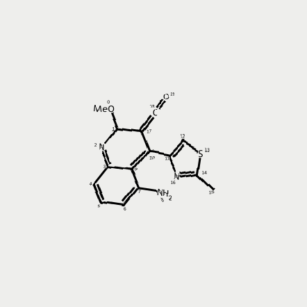 COC1N=c2cccc(N)c2=C(c2csc(C)n2)C1=C=O